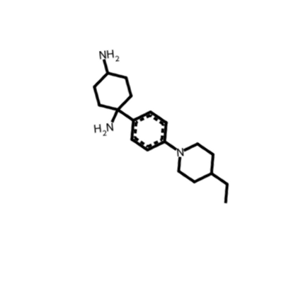 CCC1CCN(c2ccc(C3(N)CCC(N)CC3)cc2)CC1